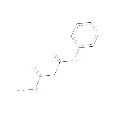 CC(C)(C)NC(=O)CC(=O)Nc1cccnc1